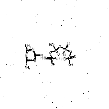 Nc1nc(N)nc(N)n1.O=P(O)(O)OP(=O)(O)OP(=O)(O)OP(=O)(O)O